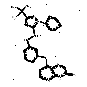 CC(C)(C)c1cc(NNc2cccc(Oc3ccnc4[nH]c(=O)cnc34)c2)n(-c2ccccc2)n1